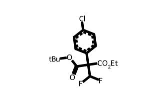 CCOC(=O)C(C(=O)OC(C)(C)C)(c1ccc(Cl)cc1)C(F)F